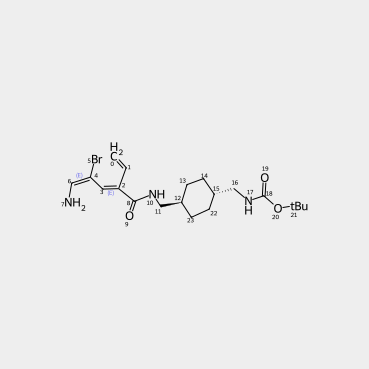 C=C/C(=C\C(Br)=C/N)C(=O)NC[C@H]1CC[C@H](CNC(=O)OC(C)(C)C)CC1